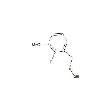 COc1cccc(CSC(C)(C)C)c1F